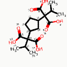 CC(C)C(C(=O)O)(C(=O)O)C1CCC(C(C(=O)O)(C(=O)O)C(C)C)C1